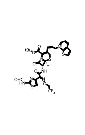 CC(C)(C)OC(=O)C1=C(/C=C\C[n+]2cccc3ccsc32)CS[C@H]2[C@H](NC(=O)C(=NOCC(F)(F)F)c3csc(NC=O)n3)C(=O)N12